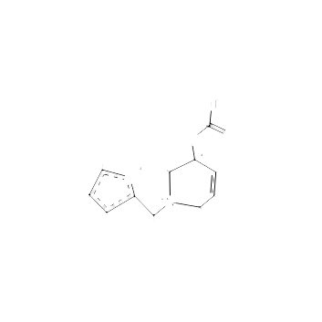 CC(C)(C)C(=O)OC1C=CCN(Cc2cccs2)C1